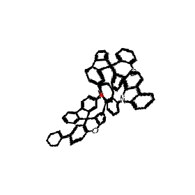 c1cc(N(c2ccc3c(c2)C2(c4ccccc4Oc4ccccc42)c2ccccc2-3)c2ccc3c(c2)C2(c4cc(C5CCCCC5)ccc4Oc4ccc(C5CCCCC5)cc42)c2ccccc2-3)cc(-n2c3ccccc3c3ccccc32)c1